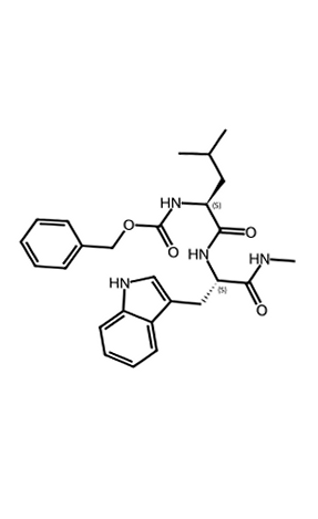 CNC(=O)[C@H](Cc1c[nH]c2ccccc12)NC(=O)[C@H](CC(C)C)NC(=O)OCc1ccccc1